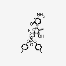 Cc1ccc(OP(=O)(OC[C@@]2(C(F)F)O[C@@H](n3ccc(N)nc3=O)[C@@H](F)[C@@H]2O)Oc2ccc(C)cc2)cc1